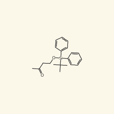 CC(=O)CCO[Si](c1ccccc1)(c1ccccc1)C(C)(C)C